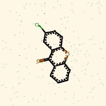 S=c1c2ccccc2sc2ccc(Cl)cc12